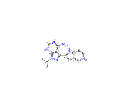 CC(C)n1nc(-c2cc3cnccc3[nH]2)c2c(N)ncnc21